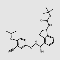 CC(C)Oc1ccc(ONC(=N)c2cccc3c2CCC3NC(=O)OC(C)(C)C)cc1C#N